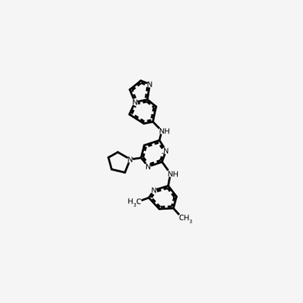 Cc1cc(C)nc(Nc2nc(Nc3ccn4ccnc4c3)cc(N3CCCC3)n2)c1